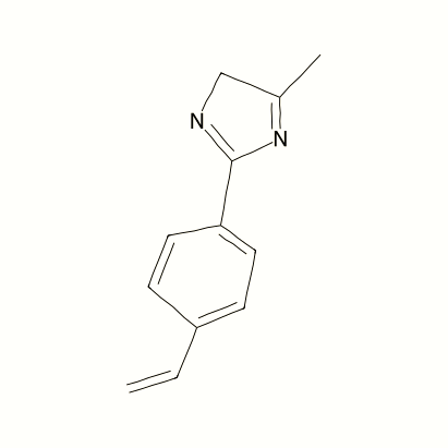 C=Cc1ccc(C2=NCC(C)=N2)cc1